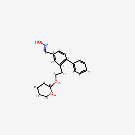 ON=Cc1ccc(-c2ccccc2)c(CCOC2CCCCO2)c1